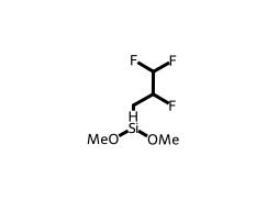 CO[SiH](CC(F)C(F)F)OC